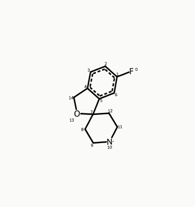 Fc1ccc2c(c1)C1(CC[N]CC1)OC2